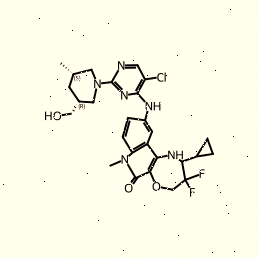 C[C@H]1C[C@@H](CO)CN(c2ncc(Cl)c(Nc3ccc4c(c3)c3c(c(=O)n4C)OCC(F)(F)C(C4CC4)N3)n2)C1